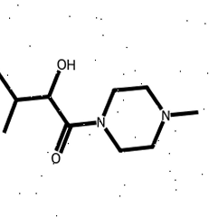 CC(C)C(O)C(=O)N1CCN(C)CC1